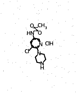 CS(=O)(=O)Nc1cnc(N2CCNCC2)c(Cl)c1.Cl